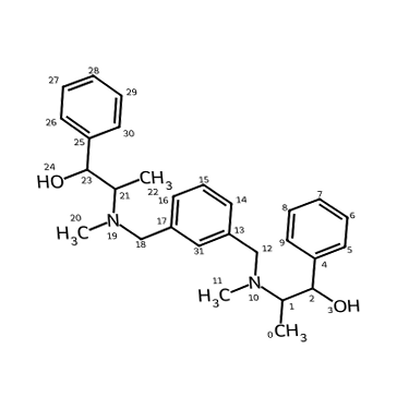 CC(C(O)c1ccccc1)N(C)Cc1cccc(CN(C)C(C)C(O)c2ccccc2)c1